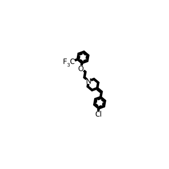 FC(F)(F)c1ccccc1OCCN1CCC(=Cc2ccc(Cl)cc2)CC1